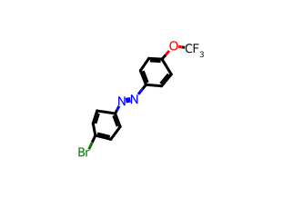 FC(F)(F)Oc1ccc(N=Nc2ccc(Br)cc2)cc1